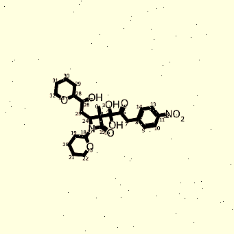 CC1(C(O)(O)C(=O)Cc2ccc([N+](=O)[O-])cc2)C(=O)N(C2CCCCO2)C1CC(O)C1CCCCO1